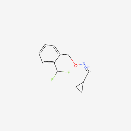 FC(F)c1ccccc1CO/N=[C]\C1CC1